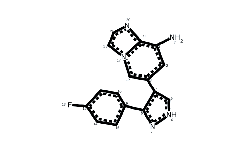 Nc1cc(-c2c[nH]nc2-c2ccc(F)cc2)cn2ccnc12